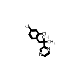 CC(O)([CH]c1ccc(Cl)cc1Cl)c1cnccn1